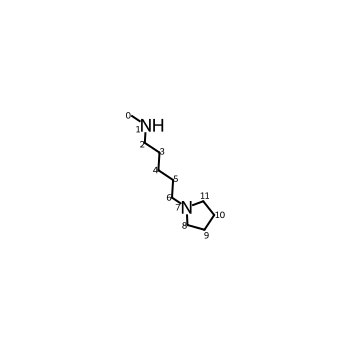 CNCCCCCN1CCCC1